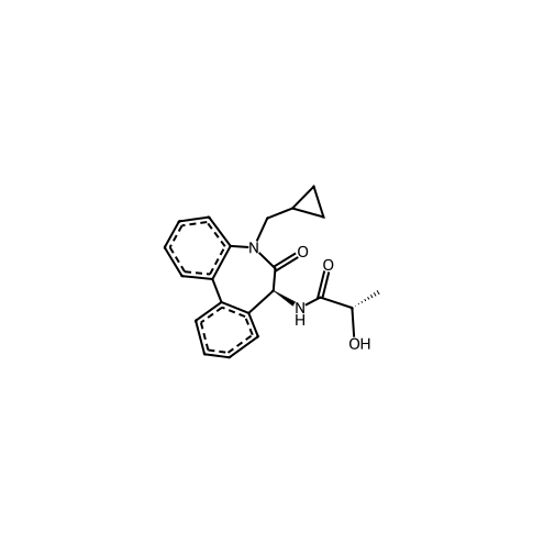 C[C@H](O)C(=O)N[C@@H]1C(=O)N(CC2CC2)c2ccccc2-c2ccccc21